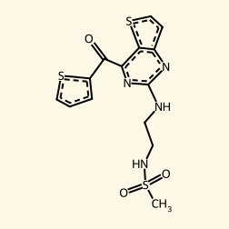 CS(=O)(=O)NCCNc1nc(C(=O)c2cccs2)c2sccc2n1